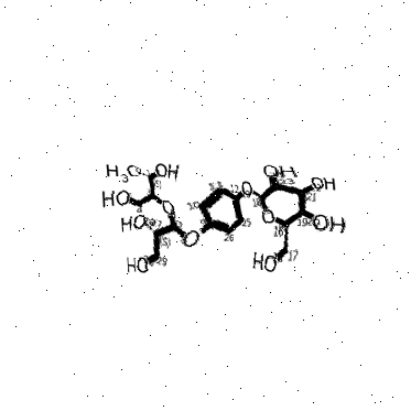 C[C@H](O)C(CO)OC(Oc1ccc(O[C@@H]2O[C@H](CO)C(O)C(O)C2O)cc1)[C@@H](O)CO